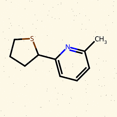 Cc1cccc(C2CCCS2)n1